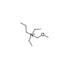 CCC[N+](CC)(CC)COC